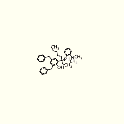 CCCCCC(CC)(Pc1ccccc1N(C)C)c1cc(Cc2ccccc2)cc(Cc2ccccc2)c1O